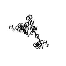 CC(CCOCCC(C)n1ncc(-c2nn(C3CCCCO3)c3ccc(O[Si](C)(C)C(C)(C)C)cc23)n1)CS(=O)(=O)O